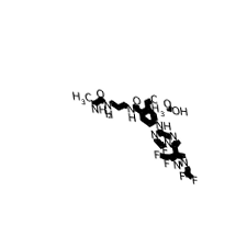 CCc1cc(Nc2nccn3c(-c4cn(CC(F)F)nc4C(F)(F)F)cnc23)ccc1C(=O)NCCCNC(=O)[C@@H](C)N.O=CO